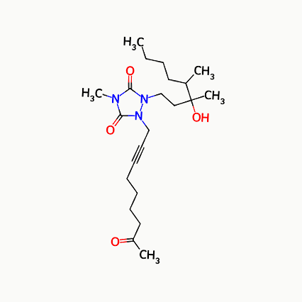 CCCCC(C)C(C)(O)CCn1c(=O)n(C)c(=O)n1CC#CCCCCC(C)=O